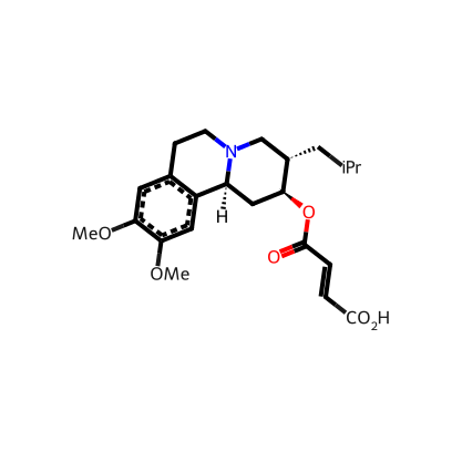 COc1cc2c(cc1OC)[C@@H]1C[C@H](OC(=O)/C=C/C(=O)O)[C@@H](CC(C)C)CN1CC2